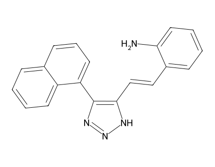 Nc1ccccc1C=Cc1[nH]nnc1-c1cccc2ccccc12